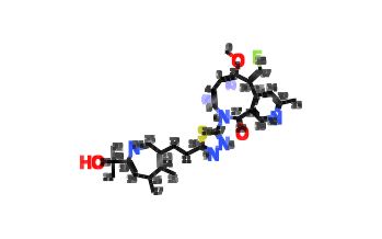 CO/C1=C/C=C\N(c2nnc(CCC3=C(C)C(C)C=C(C(C)(C)O)N=C3)s2)C(=O)c2cnc(C)cc2C1=CF